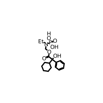 CCN(COC(=O)C(O)(c1ccccc1)C1CCCCC1)P(=O)(O)O